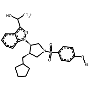 CCOc1ccc(S(=O)(=O)N2C[C@@H](CC3CCCC3)[C@@H](n3nc(C(O)C(=O)O)c4ccccc43)C2)cc1